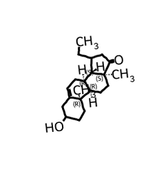 CCC1CC(=O)[C@@]2(C)CC[C@@H]3[C@@H](CC=C4CC(O)CC[C@@]43C)[C@H]12